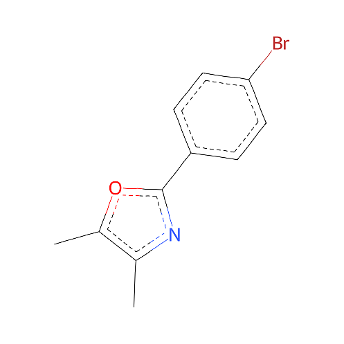 Cc1nc(-c2ccc(Br)cc2)oc1C